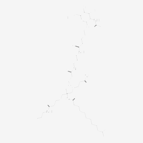 CCCNC(=O)CCOCC(COCCC(N)=O)(COCCC(=O)NCCCNC(=O)CCCCOC1OC(CO)C(O)C(O)C1NC(C)=O)NC(=O)CCCCCCCCCC(C)C